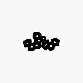 O=P(c1ccccc1)(c1ccc2ccc3ccccc3c2n1)c1ccc2ccc3ccccc3c2n1